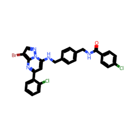 O=C(NCc1ccc(CNc2cc(-c3ccccc3Cl)nc3c(Br)cnn23)cc1)c1ccc(Cl)cc1